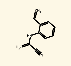 C=Cc1ccccc1NC(=C)C#N